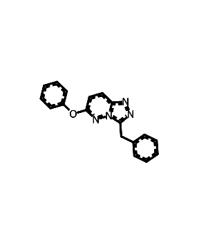 c1ccc(Cc2nnc3ccc(Oc4ccccc4)nn23)cc1